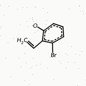 C=Cc1c([O])cccc1Br